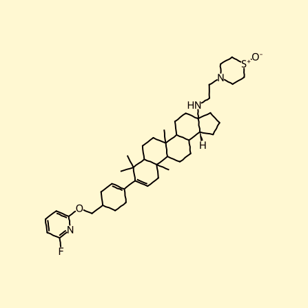 CC1(C)C(C2=CCC(COc3cccc(F)n3)CC2)=CCC2(C)C1CCC1(C)C3CCC4(NCCN5CC[S+]([O-])CC5)CCC[C@@H]4C3CCC12